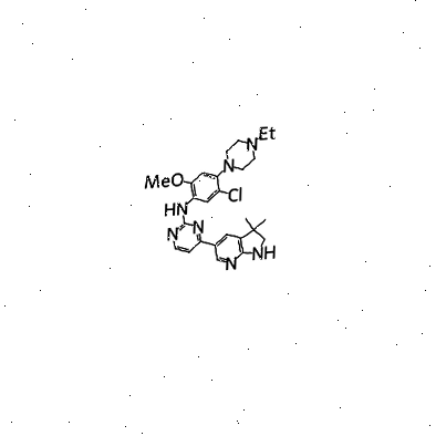 CCN1CCN(c2cc(OC)c(Nc3nccc(-c4cnc5c(c4)C(C)(C)CN5)n3)cc2Cl)CC1